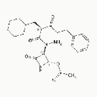 CC(=O)O[C@@H]1NC(=O)[C@H]1N(N)C(=O)[C@@H](CC1CCCCC1)C(=O)CCc1ccccc1